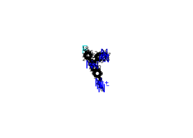 [N-]=[N+]=NCC1CCC2(CC1)Cc1nc(-c3ccc(F)cc3)c(-c3ccc4ncnn4c3)n1C2